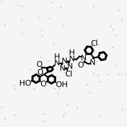 O=C1OC2(c3ccc(O)cc3Oc3cc(O)ccc32)c2ccc(Nc3nc(Cl)nc(NCCN4C(=O)CN=C(c5ccccc5)c5cc(Cl)ccc54)n3)cc21